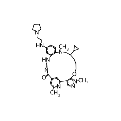 Cc1cc2cc(n1)-c1cnn(C)c1OCCCC(C1CC1)CN(C)c1ccc(NCCN3CCCC3)cc1N/C=N\C2=O